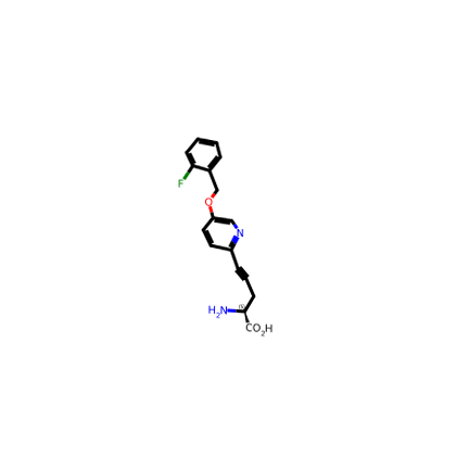 N[C@@H](CC#Cc1ccc(OCc2ccccc2F)cn1)C(=O)O